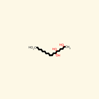 CC(O)CCCC(O)C(O)C/C=C\CCCCCCCC(=O)O